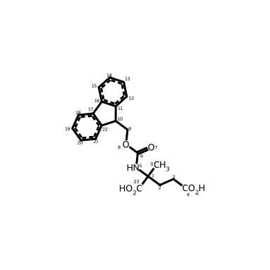 CC(CCC(=O)O)(NC(=O)OCC1c2ccccc2-c2ccccc21)C(=O)O